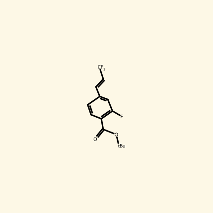 CC(C)(C)OC(=O)c1ccc(C=CC(F)(F)F)cc1F